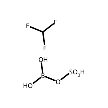 FC(F)F.O=S(=O)(O)OB(O)O